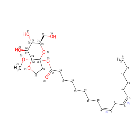 CCCCC/C=C\C/C=C\CCCCCCCC(=O)OC12CCO[C@@]1(OC)[C@@H](O)[C@H](O)[C@@H](CO)O2